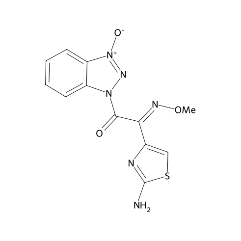 CON=C(C(=O)n1n[n+]([O-])c2ccccc21)c1csc(N)n1